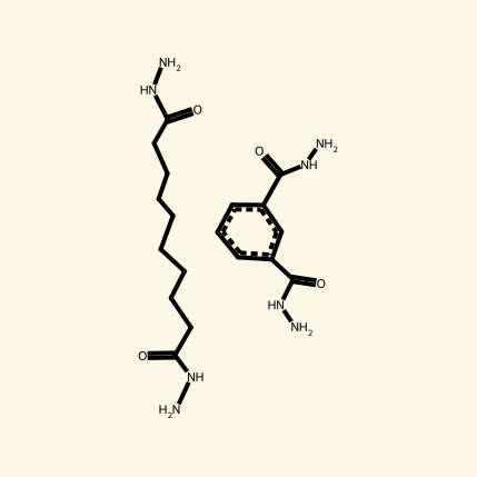 NNC(=O)CCCCCCCCC(=O)NN.NNC(=O)c1cccc(C(=O)NN)c1